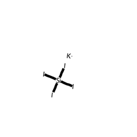 I[Si](I)(I)I.[K]